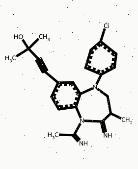 CC(=N)N1C(=N)C(C)CN(c2ccc(Cl)cc2)c2cc(C#CC(C)(C)O)ccc21